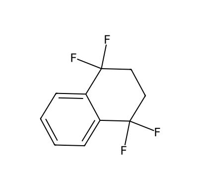 FC1(F)CCC(F)(F)c2ccccc21